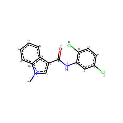 Cn1cc(C(=O)Nc2cc(Cl)ccc2Cl)c2ccccc21